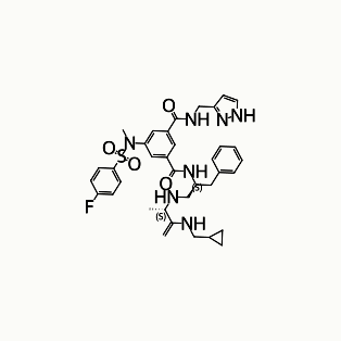 C=C(NCC1CC1)[C@H](C)NC[C@H](Cc1ccccc1)NC(=O)c1cc(C(=O)NCc2cc[nH]n2)cc(N(C)S(=O)(=O)c2ccc(F)cc2)c1